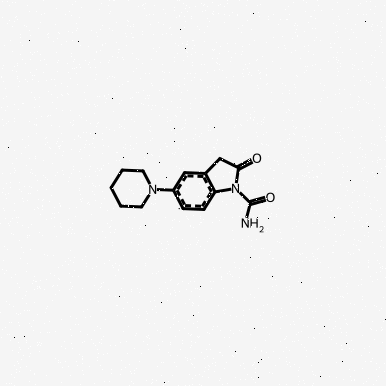 NC(=O)N1C(=O)Cc2cc(N3CCCCC3)[c]cc21